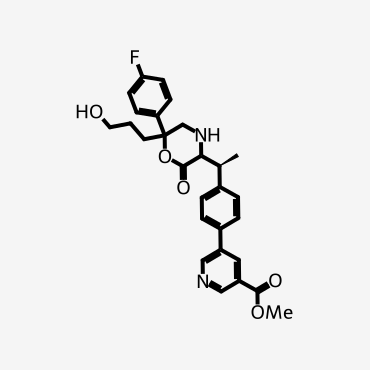 COC(=O)c1cncc(-c2ccc([C@H](C)C3NCC(CCCO)(c4ccc(F)cc4)OC3=O)cc2)c1